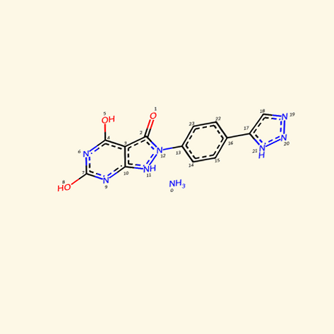 N.O=c1c2c(O)nc(O)nc2[nH]n1-c1ccc(-c2cnn[nH]2)cc1